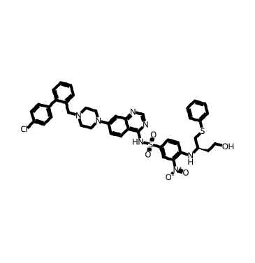 O=[N+]([O-])c1cc(S(=O)(=O)Nc2ncnc3cc(N4CCN(Cc5ccccc5-c5ccc(Cl)cc5)CC4)ccc23)ccc1N[C@H](CCO)CSc1ccccc1